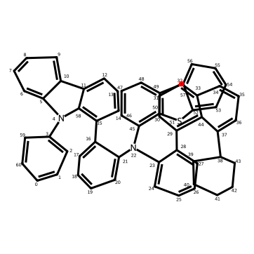 c1ccc(-n2c3ccccc3c3cccc(-c4ccccc4N(c4ccccc4-c4cccc5cccc(C6CCCCC6)c45)c4cccc5c4sc4ccccc45)c32)cc1